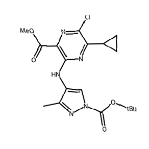 COC(=O)c1nc(Cl)c(C2CC2)nc1Nc1cn(C(=O)OC(C)(C)C)nc1C